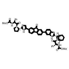 COC(=O)NC(C(=O)N1CCC[C@H]1c1ncc(-c2ccc3c(c2)C(=O)c2cc(-c4ccc5nc([C@@H]6[C@H]7CCC[C@H](C7)N6C(=O)[C@@H](NC(=O)OC)C(C)C)[nH]c5c4)ccc2-3)[nH]1)C(C)C